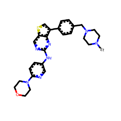 CCN1CCN(Cc2ccc(-c3csc4cnc(Nc5ccc(N6CCOCC6)nc5)nc34)cc2)CC1